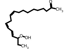 CCC(/C=C/C=C\C/C=C\CCCCCCCC(C)=O)OO